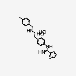 Cc1ccc(CNCCc2ccc(NC(=N)c3cccs3)cc2)cc1.Cl.Cl